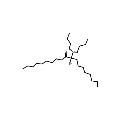 CCCCCCCCOC(=O)[C](S)(CCCCCCCC)[SnH]([CH2]CCC)[CH2]CCC